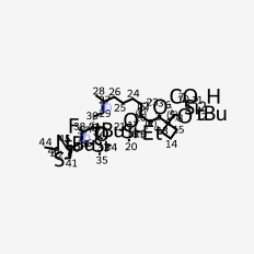 CC[C@@H](C(=O)C1([C@H](CC(=O)O)O[Si](C)(C)C(C)(C)C)CCC1)[C@@H](O[Si](C)(C)C(C)(C)C)[C@@H](C)CCC/C(C)=C/C[C@H](O[Si](C)(C)C(C)(C)C)/C(F)=C/c1csc(C)n1